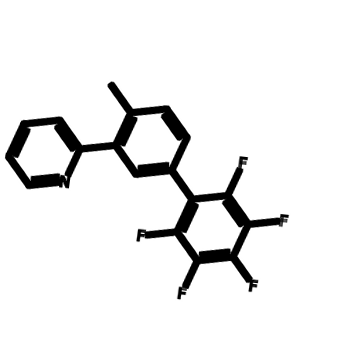 Cc1ccc(-c2c(F)c(F)c(F)c(F)c2F)cc1-c1ccccn1